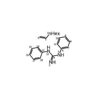 C=CCCCCCC.N=C(Nc1ccccc1)Nc1ccccc1